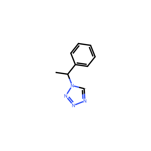 CC(c1ccccc1)n1[c]nnn1